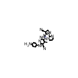 Cc1c(C#N)c(Nc2ccc(N)cc2)nc(N)c1/N=N/c1c(C#N)cnn1-c1ncccn1